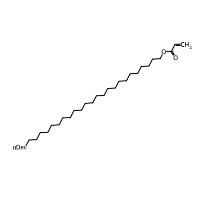 C=CC(=O)OCCCCCCCCCCCCCCCCCCCCCCCCCCCCCCCCCC